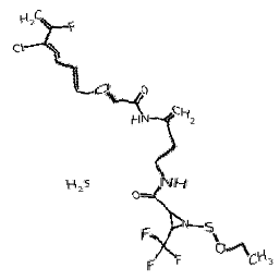 C=C(CCNC(=O)C1C(C(F)(F)F)N1SOCC)NC(=O)CO/C=C/C=C(/Cl)C(=C)F.S